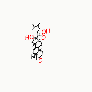 C=C(CC[C@@H](C(=O)O)[C@H]1[C@H](O)C[C@@]2(C)C3=CC[C@H]4C(C)(C)C(=O)CC[C@]4(C)C3=CCC12C)C(C)C